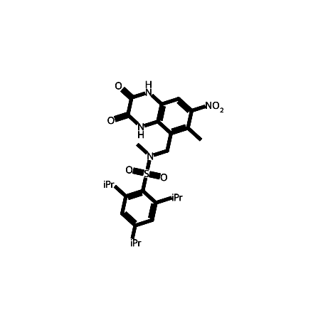 Cc1c([N+](=O)[O-])cc2[nH]c(=O)c(=O)[nH]c2c1CN(C)S(=O)(=O)c1c(C(C)C)cc(C(C)C)cc1C(C)C